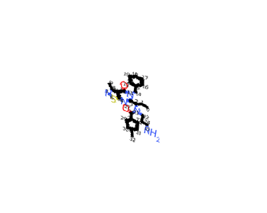 CCC(c1nc2snc(C)c2c(=O)n1Cc1ccccc1)N(CCCN)C(=O)c1ccc(C)cc1